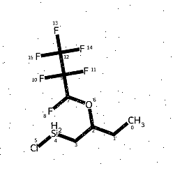 CCC(C[SiH2]Cl)OC(F)C(F)(F)C(F)(F)F